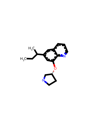 CCC(C)c1cc(O[C@@H]2CC[N]C2)c2ncccc2c1